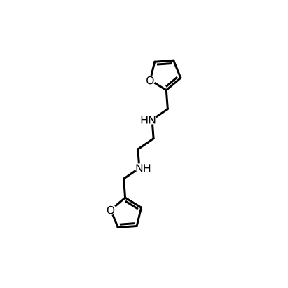 c1coc(CNCCNCc2ccco2)c1